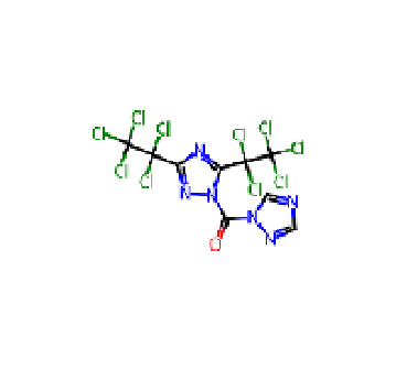 O=C(n1cncn1)n1nc(C(Cl)(Cl)C(Cl)(Cl)Cl)nc1C(Cl)(Cl)C(Cl)(Cl)Cl